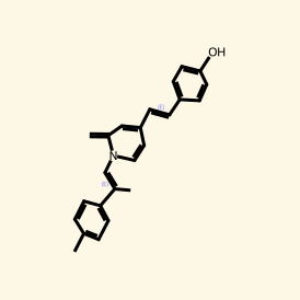 C=C1C=C(/C=C/c2ccc(O)cc2)C=CN1/C=C(\C)c1ccc(C)cc1